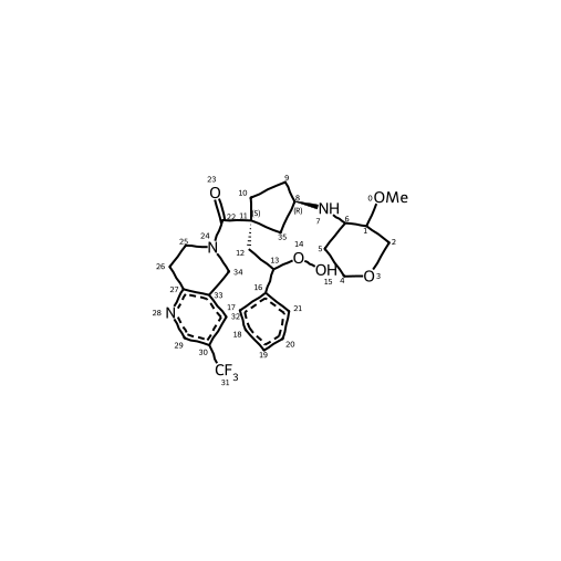 COC1COCCC1N[C@@H]1CC[C@](CC(OO)c2ccccc2)(C(=O)N2CCc3ncc(C(F)(F)F)cc3C2)C1